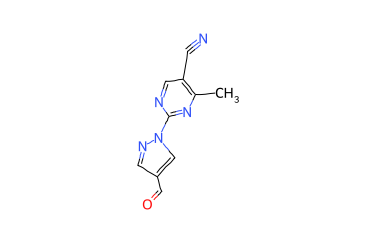 Cc1nc(-n2cc(C=O)cn2)ncc1C#N